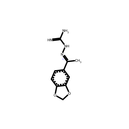 C/C(=N\NC(=N)N)c1ccc2c(c1)OCO2